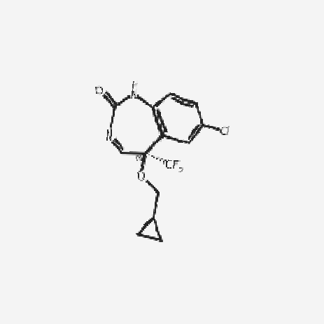 O=C1N=C[C@@](OCC2CC2)(C(F)(F)F)c2cc(Cl)ccc2N1